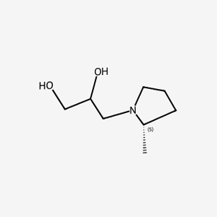 C[C@H]1CCCN1CC(O)CO